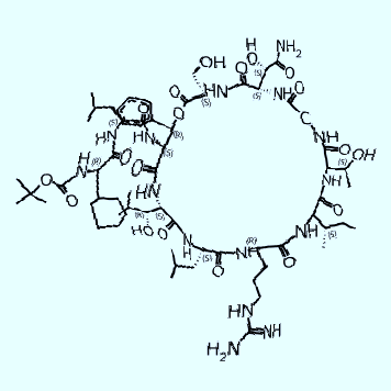 CC[C@H](C)C1NC(=O)[C@@H](CCCNC(=N)N)NC(=O)[C@H](CC(C)C)NC(=O)[C@H]([C@H](O)C(C)C)NC(=O)[C@@H](NC(=O)[C@H](CC(C)C)NC(=O)[C@H](NC(=O)OC(C)(C)C)C2CCCCC2)[C@@H](c2ccccc2)OC(=O)[C@H](CO)NC(=O)[C@H]([C@H](O)C(N)=O)NC(=O)CNC(=O)C([C@H](C)O)NC1=O